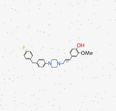 COc1cc(/C=C/CN2CCN(c3ccc(Cc4ccc(F)cc4)cc3)CC2)ccc1O